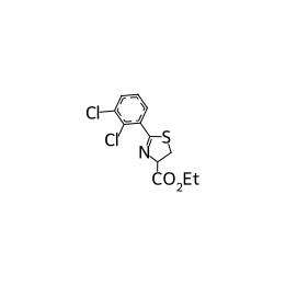 CCOC(=O)C1CSC(c2cccc(Cl)c2Cl)=N1